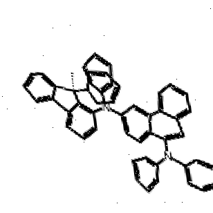 C[C@@]1(C2C=CC=CC2)c2ccccc2-c2cccc(N(c3ccccc3)c3ccc4c(N(c5ccccc5)c5ccccc5)cc5ccccc5c4c3)c21